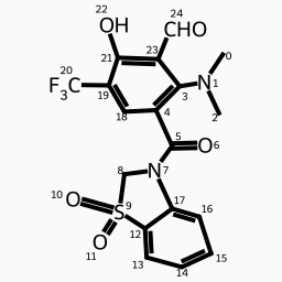 CN(C)c1c(C(=O)N2CS(=O)(=O)c3ccccc32)cc(C(F)(F)F)c(O)c1C=O